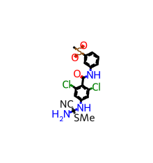 CSC(N)(C#N)Nc1cc(Cl)c(C(=O)Nc2cccc(S(C)(=O)=O)c2)c(Cl)c1